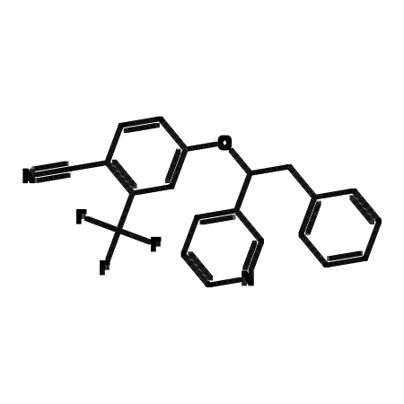 N#Cc1ccc(OC(Cc2ccccc2)c2cccnc2)cc1C(F)(F)F